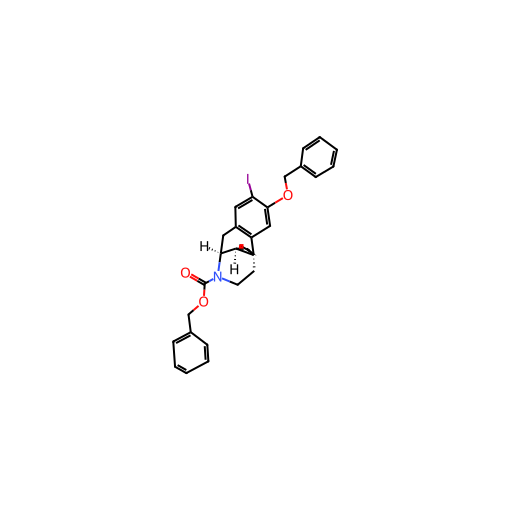 O=C(OCc1ccccc1)N1CC[C@@]23CCCC[C@@H]2[C@@H]1Cc1cc(I)c(OCc2ccccc2)cc13